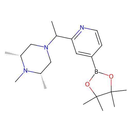 CC(c1cc(B2OC(C)(C)C(C)(C)O2)ccn1)N1C[C@@H](C)N(C)[C@@H](C)C1